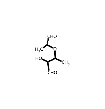 CC(O[C@@H](C)C=O)C(O)C=O